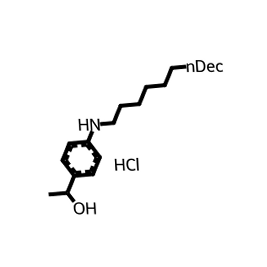 CCCCCCCCCCCCCCCCNc1ccc(C(C)O)cc1.Cl